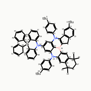 CC(C)(C)c1ccc(N2C3=C(Cc4ccc(C(C)(C)C)cc43)B3c4cc5c(cc4N(c4ccc(C(C)(C)C)cc4)c4cc(N6c7ccccc7[Si](c7ccccc7)(C7C=CC=CC7)c7ccccc76)cc2c43)C(C)(C)CCC5(C)C)cc1